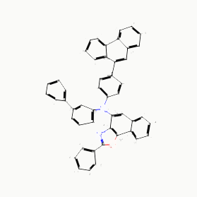 c1ccc(-c2cccc(N(c3ccc(-c4cc5ccccc5c5ccccc45)cc3)c3cc4ccccc4c4oc(-c5ccccc5)nc34)c2)cc1